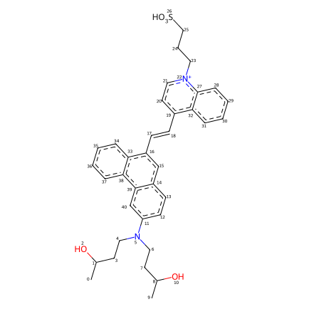 CC(O)CCN(CCC(C)O)c1ccc2cc(/C=C/c3cc[n+](CCCS(=O)(=O)O)c4ccccc34)c3ccccc3c2c1